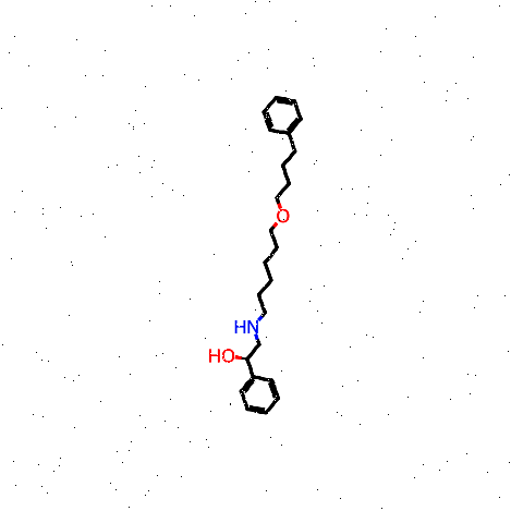 O[C@@H](CNCCCCCCOCCCCc1ccccc1)c1ccccc1